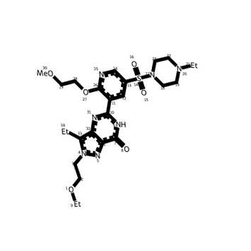 CCOCCn1nc2c(=O)[nH]c(-c3cc(S(=O)(=O)N4CCN(CC)CC4)cnc3OCCOC)nc2c1CC